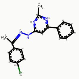 CC(=NNc1cc(-c2ccccc2)nc(C)n1)c1ccc(Br)cc1